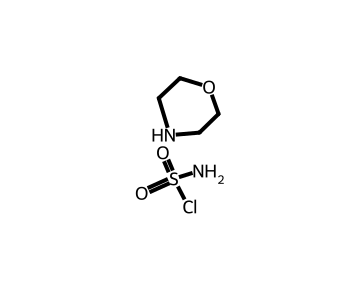 C1COCCN1.NS(=O)(=O)Cl